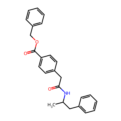 CC(Cc1ccccc1)NC(=O)Cc1ccc(C(=O)OCc2ccccc2)cc1